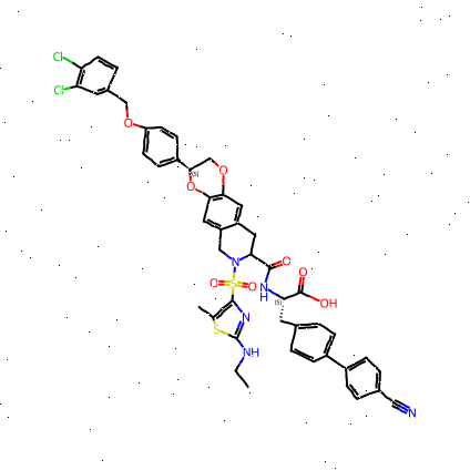 CCNc1nc(S(=O)(=O)N2Cc3cc4c(cc3CC2C(=O)N[C@@H](Cc2ccc(-c3ccc(C#N)cc3)cc2)C(=O)O)OC[C@H](c2ccc(OCc3ccc(Cl)c(Cl)c3)cc2)O4)c(C)s1